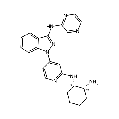 N[C@@H]1CCCC[C@@H]1Nc1cc(-n2nc(Nc3cnccn3)c3ccccc32)ccn1